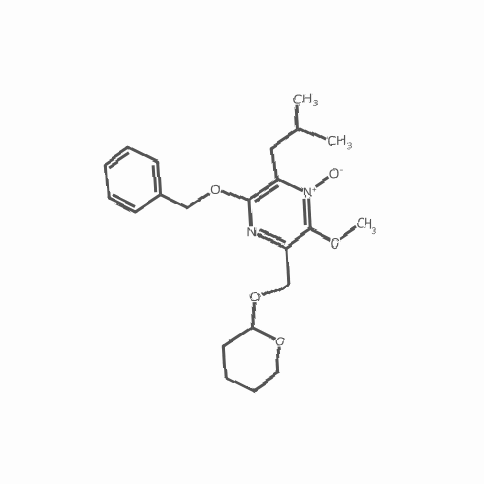 COc1c(COC2CCCCO2)nc(OCc2ccccc2)c(CC(C)C)[n+]1[O-]